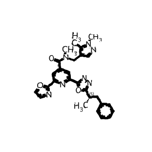 Cc1c(CN(C)C(=O)c2cc(-c3ncco3)nc(-c3nnc([C@@H](C)Cc4ccccc4)o3)c2)cnn1C